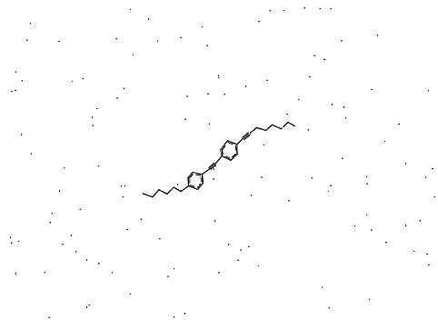 CCCCCCC#Cc1ccc(C#Cc2ccc(CCCCCC)cc2)cc1